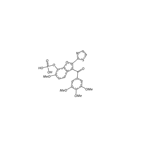 COc1cc(C(=O)c2c(-c3nccs3)oc3c(OP(=O)(O)O)c(OC)ccc23)cc(OC)c1OC